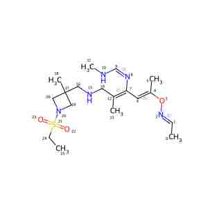 C/C=N/O/C(C)=C/C(/N=C\NC)=C(\C)CNCC1(C)CN(S(=O)(=O)CC)C1